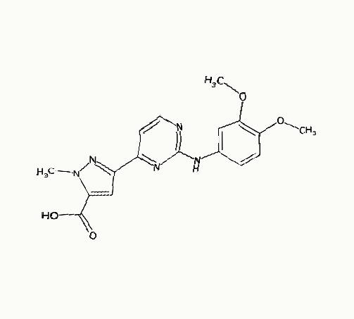 COc1ccc(Nc2nccc(-c3cc(C(=O)O)n(C)n3)n2)cc1OC